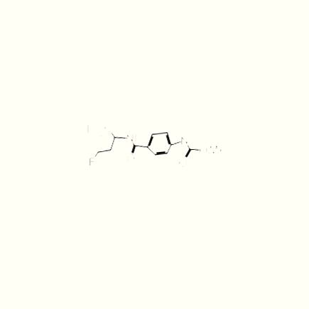 COC(=O)Nc1ccc(C(=O)NC(CCF)C(=O)O)cc1